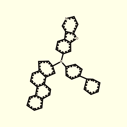 c1ccc(-c2ccc(N(c3ccc4c(c3)oc3ccncc34)c3ccc4ccc5c6ccccc6ccc5c4c3)cc2)cc1